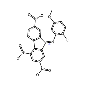 COc1ccc(Cl)c(/N=C2\c3cc([N+](=O)[O-])ccc3-c3c2cc([N+](=O)[O-])cc3[N+](=O)[O-])c1